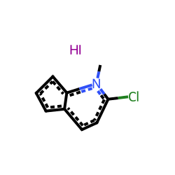 Cn1c(Cl)ccc2cccc1-2.I